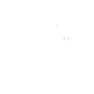 NCC(=CBr)c1cccs1